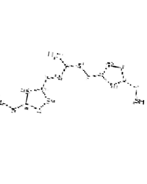 CC(SCC1SCC(CS)S1)SCC1SCC(CS)S1